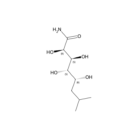 CC(C)C[C@@H](O)[C@H](O)[C@H](O)[C@@H](O)C(N)=O